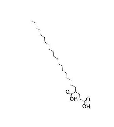 CCCCCCCCCCCCCCCCCCCCC(CCC(=O)O)C(=O)O